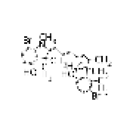 C=C(/C=C/C=C/C=C1/N(C)c2c(Br)ccc(O)c2C1(C)C)C(C)(C)c1c(O)ccc(Br)c1C